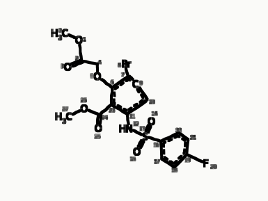 COC(=O)COc1c(Br)ccc(NS(=O)(=O)c2ccc(F)cc2)c1C(=O)OC